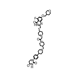 O=C1CCN(c2ccc(C3CCN(CC4CCN(C(=O)CN5CCC(SCc6nc7cc(OCC8CCOCC8)cc(F)c7c(=O)[nH]6)CC5)CC4)CC3)cc2)C(=O)N1